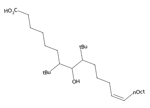 CCCCCCCC/C=C\CCCC(C(O)C(CCCCCC(=O)O)C(C)(C)C)C(C)(C)C